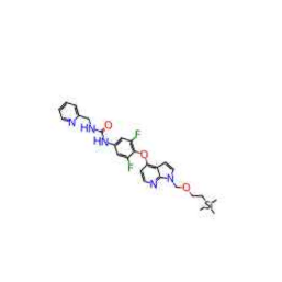 C[Si](C)(C)CCOCn1ccc2c(Oc3c(F)cc(NC(=O)NCc4ccccn4)cc3F)ccnc21